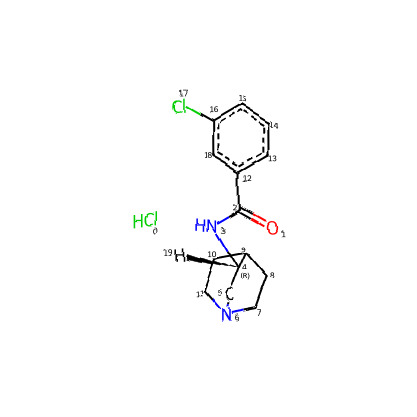 Cl.O=C(N[C@H]1CN2CCC1CC2)c1cccc(Cl)c1